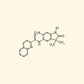 CCN1C(=O)C(C)(C)c2cc(NC(=O)c3ccc4ccccc4n3)c([N+](=O)[O-])cc21